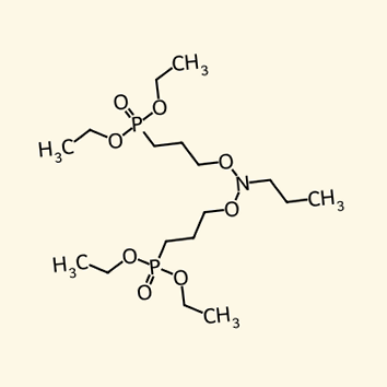 CCCN(OCCCP(=O)(OCC)OCC)OCCCP(=O)(OCC)OCC